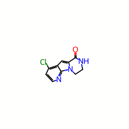 O=C1NCCn2c1cc1c(Cl)ccnc12